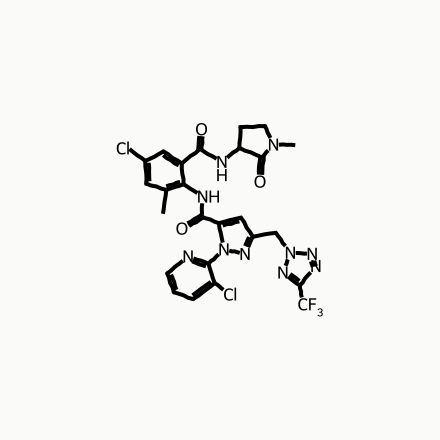 Cc1cc(Cl)cc(C(=O)NC2CCN(C)C2=O)c1NC(=O)c1cc(Cn2nnc(C(F)(F)F)n2)nn1-c1ncccc1Cl